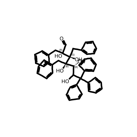 O=C[C@@](O)(Cc1ccccc1)[C@](O)(Cc1ccccc1)[C@@](O)(Cc1ccccc1)[C@H](O)C(O)C(c1ccccc1)(c1ccccc1)c1ccccc1